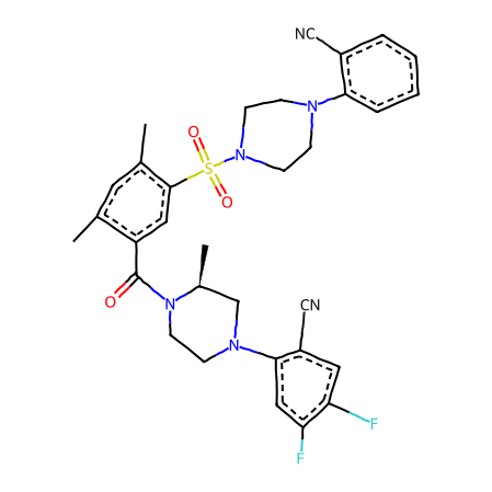 Cc1cc(C)c(S(=O)(=O)N2CCN(c3ccccc3C#N)CC2)cc1C(=O)N1CCN(c2cc(F)c(F)cc2C#N)C[C@@H]1C